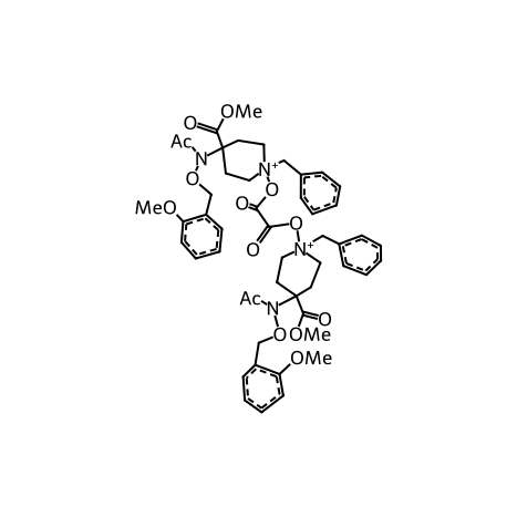 COC(=O)C1(N(OCc2ccccc2OC)C(C)=O)CC[N+](Cc2ccccc2)(OC(=O)C(=O)O[N+]2(Cc3ccccc3)CCC(C(=O)OC)(N(OCc3ccccc3OC)C(C)=O)CC2)CC1